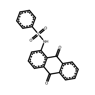 O=C1c2ccccc2C(=O)c2c(NS(=O)(=O)c3ccccc3)cccc21